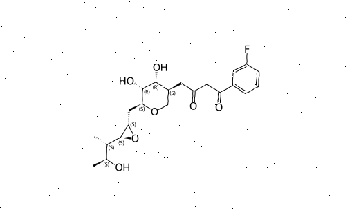 C[C@H]([C@@H]1O[C@H]1C[C@@H]1OC[C@H](CC(=O)CC(=O)c2cccc(F)c2)[C@@H](O)[C@H]1O)[C@H](C)O